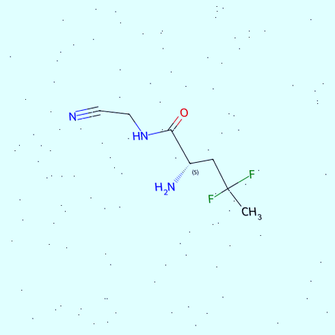 CC(F)(F)C[C@H](N)C(=O)NCC#N